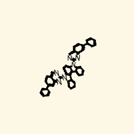 c1ccc(-c2ccc3cnc(-n4c5ccccc5c5c6c7ccccc7n(-c7ncc8ccc(-c9ccccc9)cc8n7)c6ccc54)nc3c2)cc1